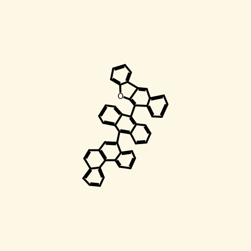 c1ccc2c(-c3c4ccccc4c(-c4cc5ccc6ccccc6c5c5ccccc45)c4ccccc34)c3oc4ccccc4c3cc2c1